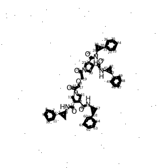 O=C(N[C@H]1C[C@@H]1c1ccccc1)[C@@H]1CN(C(=O)COCC(=O)N2C[C@@H](C(=O)N[C@H]3C[C@@H]3c3ccccc3)[C@H](C(=O)N[C@H]3C[C@@H]3c3ccccc3)C2)C[C@H]1C(=O)N[C@H]1C[C@@H]1c1ccccc1